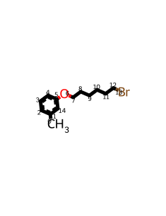 Cc1cccc(OCCCCCCBr)c1